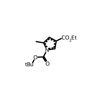 CCOC(=O)c1cc(C)n(C(=O)OC(C)(C)C)c1